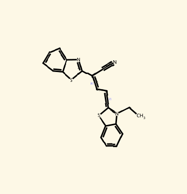 CCN1/C(=C/C=C(\C#N)c2nc3ccccc3s2)Sc2ccccc21